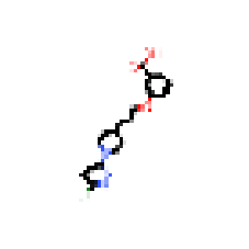 O=C(O)c1cccc(OCCCC2CCN(c3ccc(Cl)nn3)CC2)c1